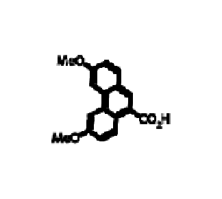 COc1ccc2cc(C(=O)O)c3ccc(OC)cc3c2c1